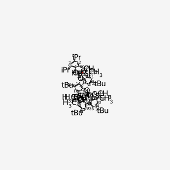 CC(C)c1cc2c(c(C(C)C)c1)OP(Oc1c(-c3cc(C(C)(C)C)cc([Si](C)(C)C)c3Op3oc4c([Si](C)(C)C)cc(C(C)(C)C)cc4c4cc(C(C)(C)C)cc([Si](C)(C)C)c4o3)cc(C(C)(C)C)cc1[Si](C)(C)C)OC2